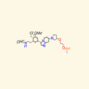 COc1cc(-c2cnc3cc(N4CCC(OCCOPI)C4)ccn23)cc(CCNC=O)c1CC(F)(F)F